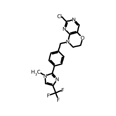 Cn1cc(C(F)(F)F)nc1-c1ccc(CN2CCOc3cnc(Cl)nc32)cc1